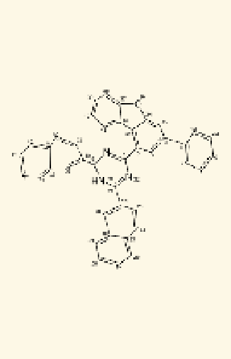 c1ccc(-c2cc(C3=NC(c4ccc5ccccc5c4)NC(c4ccc5ccccc5c4)=N3)c3c(c2)oc2ccccc23)cc1